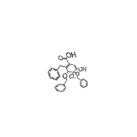 COC1(OCc2ccccc2)C(O)=CC(C(=O)O)=C(Cc2ccccc2)C1OCc1ccccc1